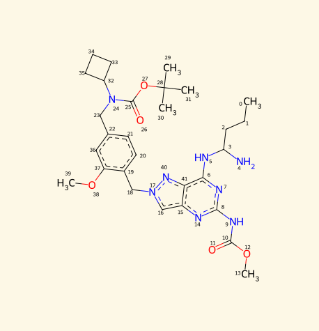 CCCC(N)Nc1nc(NC(=O)OC)nc2cn(Cc3ccc(CN(C(=O)OC(C)(C)C)C4CCC4)cc3OC)nc12